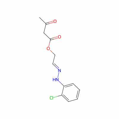 CC(=O)CC(=O)OCC=NNc1ccccc1Cl